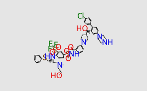 CN(CCO)CC[C@H](CSc1ccccc1)Nc1ccc(S(=O)(=O)NC(=O)c2cccc(N3CCC([C@H](O)c4cc(N5CCNCC5)ccc4-c4ccc(Cl)cc4)CC3)c2)cc1S(=O)(=O)C(F)(F)F